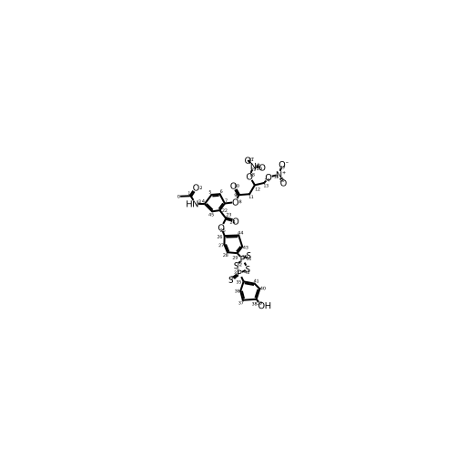 CC(=O)Nc1ccc(OC(=O)CC(CO[N+](=O)[O-])O[N+](=O)[O-])c(C(=O)Oc2ccc(P3(=S)SP(=S)(c4ccc(O)cc4)S3)cc2)c1